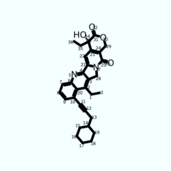 CCc1c2c(nc3cccc(C#CCC4CCCCC4)c13)-c1cc3c(c(=O)n1C2)COC(=O)[C@]3(O)CC